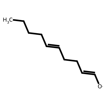 CCCCC=CCCC=C[O]